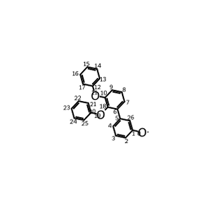 [O]c1cccc(-c2cccc(Oc3ccccc3)c2Oc2ccccc2)c1